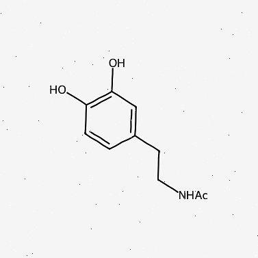 [CH2]C(=O)NCCc1ccc(O)c(O)c1